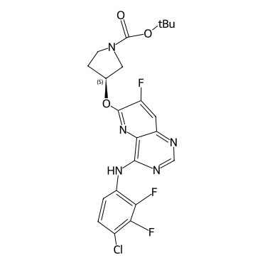 CC(C)(C)OC(=O)N1CC[C@H](Oc2nc3c(Nc4ccc(Cl)c(F)c4F)ncnc3cc2F)C1